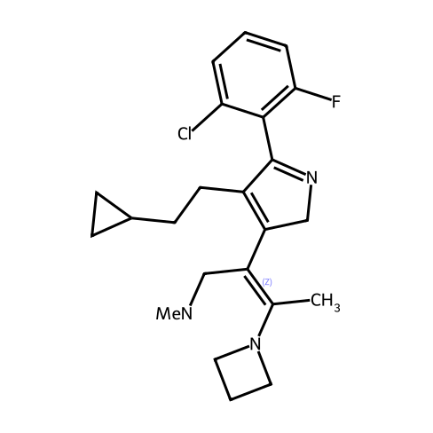 CNC/C(C1=C(CCC2CC2)C(c2c(F)cccc2Cl)=NC1)=C(/C)N1CCC1